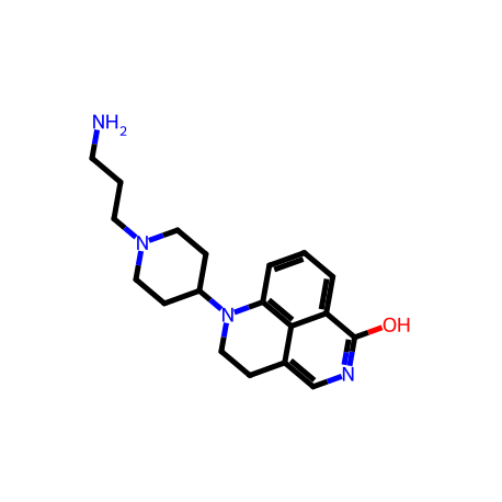 NCCCN1CCC(N2CCc3cnc(O)c4cccc2c34)CC1